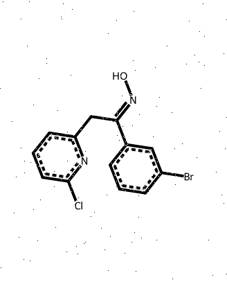 O/N=C(\Cc1cccc(Cl)n1)c1cccc(Br)c1